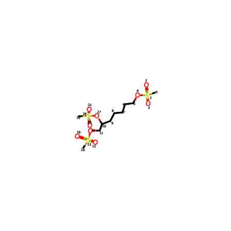 CS(=O)(=O)OCCCCCC(COS(C)(=O)=O)OS(C)(=O)=O